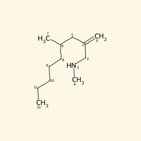 C=C(CNC)CC(C)CCCCC